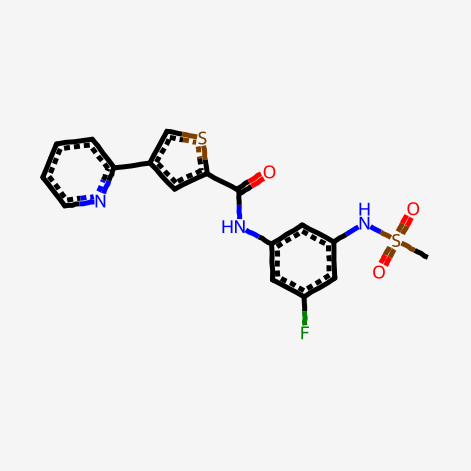 CS(=O)(=O)Nc1cc(F)cc(NC(=O)c2cc(-c3ccccn3)cs2)c1